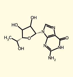 CC(O)[C@H]1O[C@@H](n2cnc3c(=O)[nH]c(N)nc32)C(O)C1O